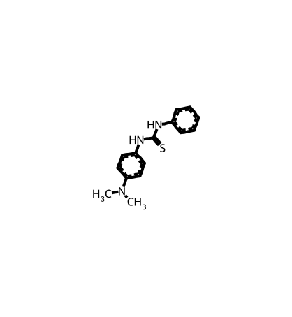 CN(C)c1ccc(NC(=S)Nc2ccccc2)cc1